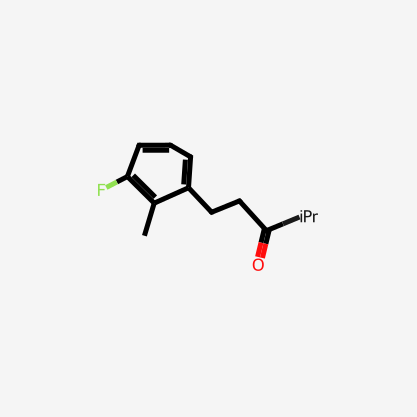 Cc1c(F)cccc1CCC(=O)C(C)C